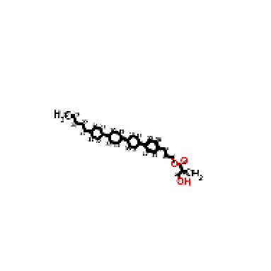 C=C(CO)C(=O)OCCCc1ccc(C2CCC(C3CCC(C4CCC(CCCCC)CC4)CC3)CC2)cc1